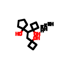 OC1(CC(C2(O)CCCC2)C2(O)CCC2)CCC1.[KH].[KH].[KH]